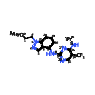 COCCn1ncc2c(Nc3ncc(C(F)(F)F)c(NC(C)C)n3)cccc21